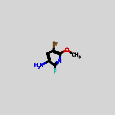 COc1nc(F)c(N)cc1Br